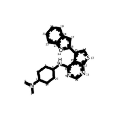 CN(C)C1CCC(Nc2ncnc3scc(-c4cc5ccccc5o4)c23)CC1